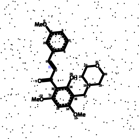 COc1cccc(/C=C/C(=O)c2c(OC)cc(OC)c(CN3CCOCC3)c2O)c1